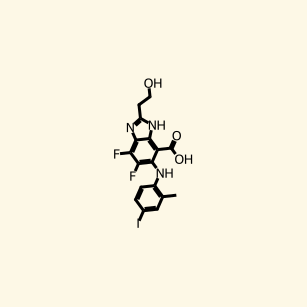 Cc1cc(I)ccc1Nc1c(F)c(F)c2nc(CCO)[nH]c2c1C(=O)O